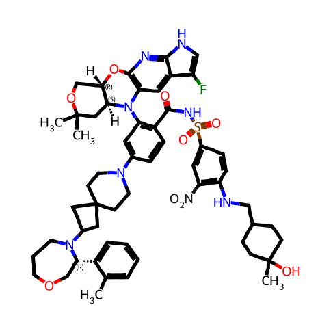 Cc1ccccc1[C@@H]1COCCCN1C1CC2(CCN(c3ccc(C(=O)NS(=O)(=O)c4ccc(NCC5CCC(C)(O)CC5)c([N+](=O)[O-])c4)c(N4c5cc6c(F)c[nH]c6nc5O[C@H]5COC(C)(C)C[C@@H]54)c3)CC2)C1